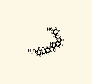 CN1CCN(Cc2ccc(NC(=O)c3ccc4c(c3)N(Cc3cncc(C#N)c3)CC4)cc2C(F)(F)F)CC1